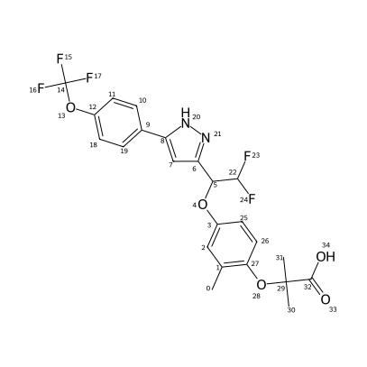 Cc1cc(OC(c2cc(-c3ccc(OC(F)(F)F)cc3)[nH]n2)C(F)F)ccc1OC(C)(C)C(=O)O